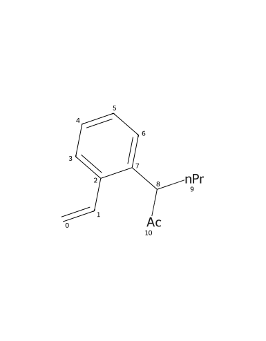 C=Cc1ccccc1C(CCC)C(C)=O